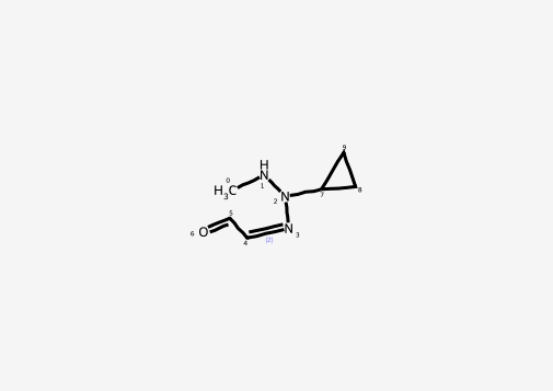 CNN(/N=C\C=O)C1CC1